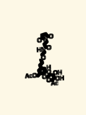 CC(=O)OCc1cc(CCCOCCNC(=O)CCN2C(=O)C=CC2=O)ccc1O[C@@H]1O[C@H](C(C)=O)[C@@H](O)[C@H](O)[C@H]1O